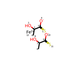 CC(O)C([O-])=S.CC(O)C([O-])=S.[Fe+2]